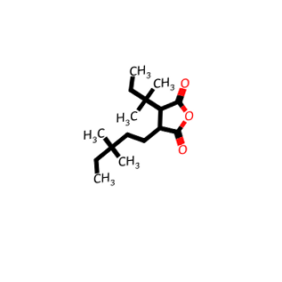 CCC(C)(C)CCC1C(=O)OC(=O)C1C(C)(C)CC